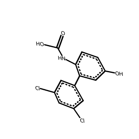 O=C(O)Nc1ccc(O)cc1-c1cc(Cl)cc(Cl)c1